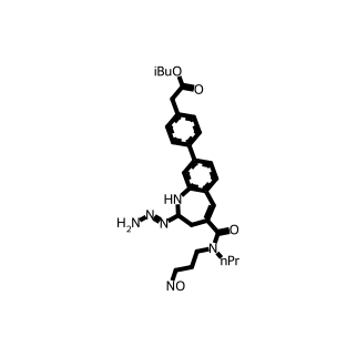 CCCN(CCCN=O)C(=O)C1=Cc2ccc(-c3ccc(CC(=O)OCC(C)C)cc3)cc2NC(N=NN)C1